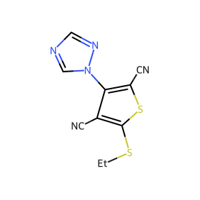 CCSc1sc(C#N)c(-n2cncn2)c1C#N